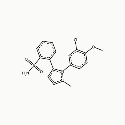 COc1ccc(-n2c(C)ccc2-c2ccccc2S(N)(=O)=O)cc1Cl